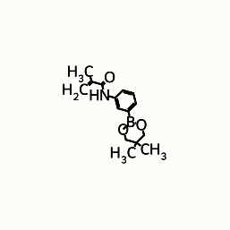 C=C(C)C(=O)Nc1cccc(B2OCC(C)(C)CO2)c1